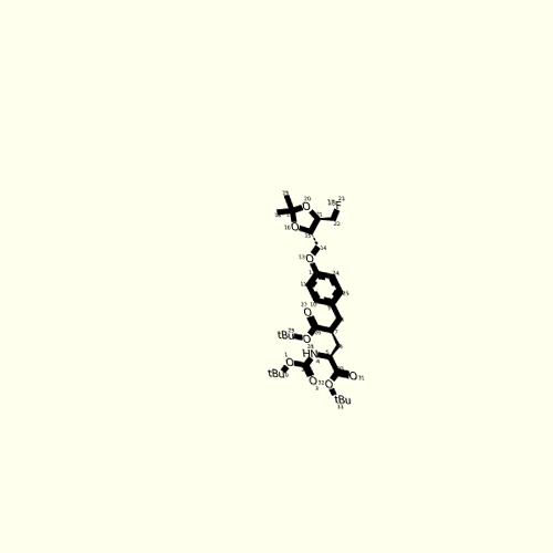 CC(C)(C)OC(=O)N[C@@H](C[C@H](Cc1ccc(OC[C@@H]2OC(C)(C)O[C@H]2C[18F])cc1)C(=O)OC(C)(C)C)C(=O)OC(C)(C)C